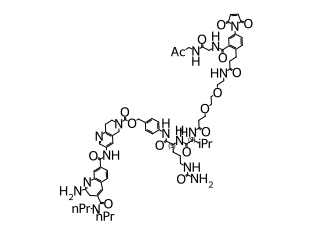 CCCN(CCC)C(=O)C1=Cc2ccc(C(=O)Nc3cnc4c(c3)CN(C(=O)OCc3ccc(NC(=O)[C@H](CCCNC(N)=O)NC(=O)[C@@H](NC(=O)CCOCCOCCNC(=O)CCc5ccc(N6C(=O)C=CC6=O)cc5C(=O)NCC(=O)NCC(C)=O)C(C)C)cc3)CC4)cc2N=C(N)C1